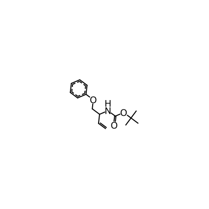 C=CC(COc1ccccc1)NC(=O)OC(C)(C)C